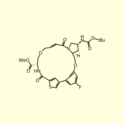 COC(=O)[C@@H]1COC/C=C/C(=O)N2C[C@@H](NC(=O)OC(C)(C)C)C[C@H]2COc2cc(F)cc(c2)-c2csc(c2)C(=O)N1